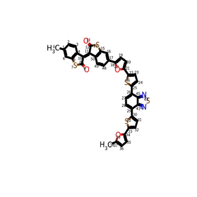 Cc1ccc2c(c1)SC(=O)/C2=C1/C(=O)Sc2cc(-c3ccc(-c4ccc(-c5ccc(-c6ccc(-c7ccc(C)o7)s6)c6nsnc56)s4)o3)ccc21